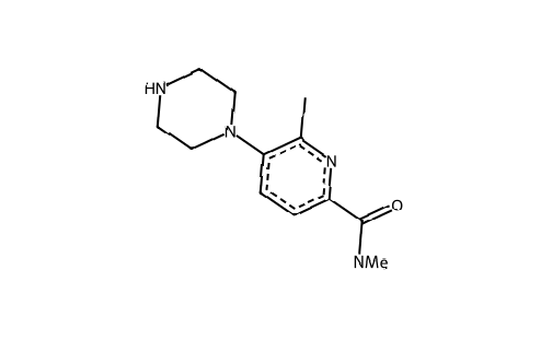 CNC(=O)c1ccc(N2CCNCC2)c(C)n1